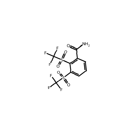 NC(=O)c1cccc(S(=O)(=O)C(F)(F)F)c1S(=O)(=O)C(F)(F)F